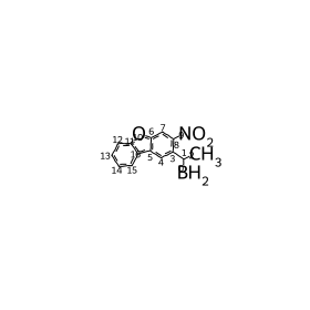 BC(C)c1cc2c(cc1[N+](=O)[O-])oc1ccccc12